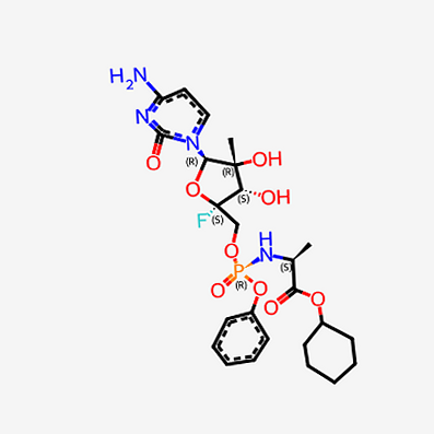 C[C@H](N[P@@](=O)(OC[C@@]1(F)O[C@@H](n2ccc(N)nc2=O)[C@](C)(O)[C@@H]1O)Oc1ccccc1)C(=O)OC1CCCCC1